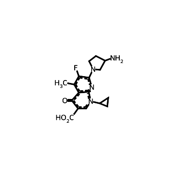 Cc1c(F)c(N2CCC(N)C2)nc2c1c(=O)c(C(=O)O)cn2C1CC1